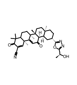 C[C@H](O)c1nnc([C@H]2CC[C@]3(C)CC[C@]4(C)[C@H](C(=O)C=C5[C@@]6(C)C=C(C#N)C(=O)C(C)(C)C6CC[C@]54C)[C@@H]3C2)o1